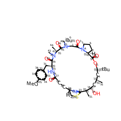 CC[C@H](C)C1C(=O)N2CCC[C@H]2C(=O)O[C@H](C(C)(C)C)C[C@@H](C)C[C@H](O)[C@@H](C)C2=N[C@@H](CCC(=O)N[C@@H](Cc3ccc(OC)cc3)C(=O)N(C)[C@@H](C)C(=O)N1C)CS2